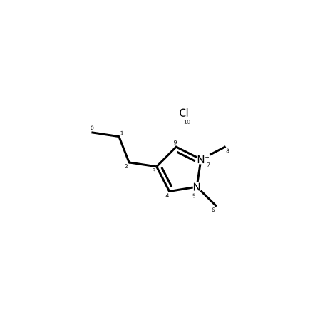 CCCc1cn(C)[n+](C)c1.[Cl-]